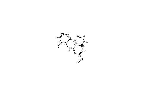 COc1ccc2c(-c3cncc(C)c3O)ccnc2c1